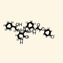 O=C(COc1ccc(Cl)cc1)Nc1cccc2nc(-c3c(NC[C@H](O)c4ccccc4)cc[nH]c3=O)[nH]c12